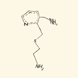 NCCSCc1ncccc1N